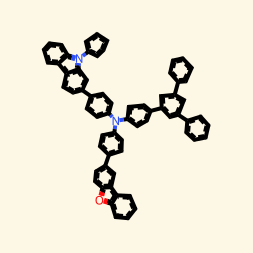 c1ccc(-c2cc(-c3ccccc3)cc(-c3ccc(N(c4ccc(-c5ccc6oc7ccccc7c6c5)cc4)c4ccc(-c5ccc6c7ccccc7n(-c7ccccc7)c6c5)cc4)cc3)c2)cc1